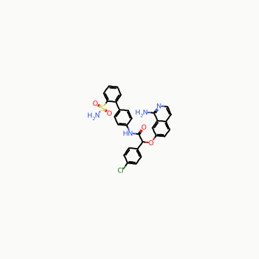 Nc1nccc2ccc(OC(C(=O)Nc3ccc(-c4ccccc4S(N)(=O)=O)cc3)c3ccc(Cl)cc3)cc12